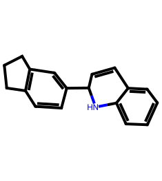 C1=CC(c2ccc3c(c2)CCC3)Nc2ccccc21